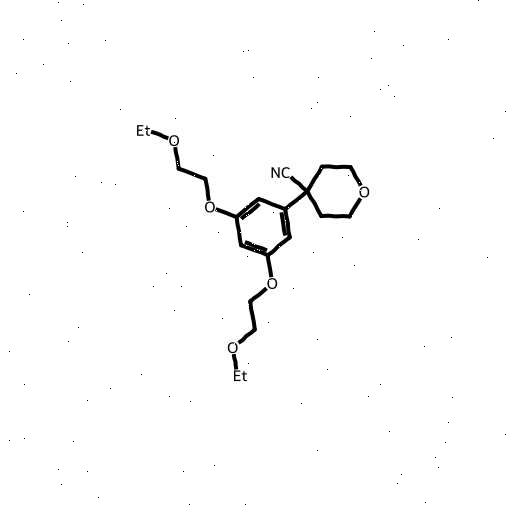 CCOCCOc1cc(OCCOCC)cc(C2(C#N)CCOCC2)c1